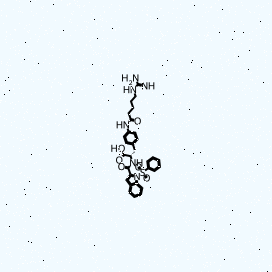 N=C(N)NCCCCC(=O)Nc1ccc(C[C@H](NC(=O)c2cc3ccccc3n2S(=O)(=O)c2ccccc2)C(=O)O)cc1